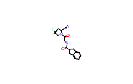 N#CC1CC(F)(F)CN1C(=O)CNC(=O)C1Cc2ccccc2C1